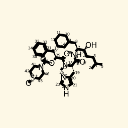 CC(C)CC[C@H](O)[C@H](CC1CCCCC1)NC(=O)[C@H](Cc1c[nH]cn1)N(C)C(=O)[C@H](Cc1ccccc1)OC(=O)N1CC[S+]([O-])CC1